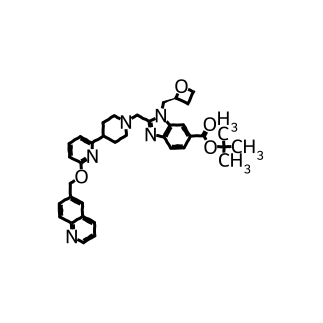 CC(C)(C)OC(=O)c1ccc2nc(CN3CCC(c4cccc(OCc5ccc6ncccc6c5)n4)CC3)n(C[C@@H]3CCO3)c2c1